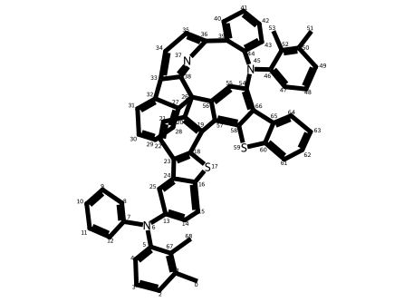 Cc1cccc(N(c2ccccc2)c2ccc3sc4c5c(ccc4c3c2)C23c4ccccc4-c4ccc(nc42)-c2ccccc2N(c2cccc(C)c2C)c2cc3c-5c3sc4ccccc4c23)c1C